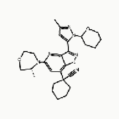 Cc1cc(-c2nsc3c(C4(C#N)CCCCC4)cc(N4CCOC[C@H]4C)nc23)n(C2CCCCO2)n1